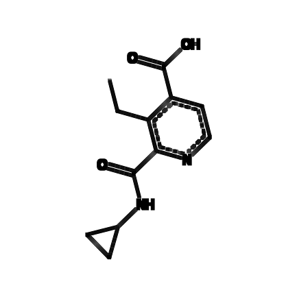 CCc1c(C(=O)O)ccnc1C(=O)NC1CC1